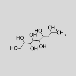 CC(C)CC(O)C(O)C(O)C(O)C(O)CO